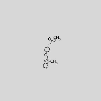 COC(=O)CCc1ccc(OCc2sc3ccccc3c2C)cc1